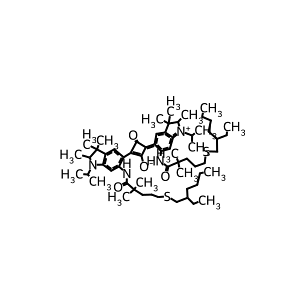 CCCCC(CC)CSCCCC(C)(C)C(=O)Nc1cc2c(cc1C1=C([O-])/C(=c3/cc4c(cc3NC(=O)C(C)(C)CCCSCC(CC)CCCC)=[N+](C(C)C)C(C)C4(C)C)C1=O)C(C)(C)C(C)N2C(C)C